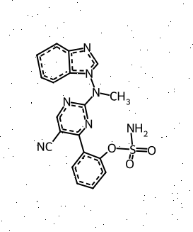 CN(c1ncc(C#N)c(-c2ccccc2OS(N)(=O)=O)n1)n1cnc2ccccc21